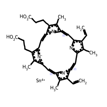 C=Cc1c2[n-]c(c1C)/C=c1\[n-]/c(c(C)c1C=C)=C\c1[n-]c(c(CCC(=O)O)c1C)C=c1[n-]/c(c(C)c1CCC(=O)O)=C\2.[Sn+4]